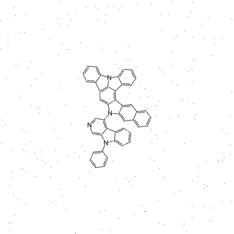 c1ccc(-n2c3ccccc3c3c(-n4c5cc6ccccc6cc5c5c6c7ccccc7n7c8ccccc8c(cc54)c67)cncc32)cc1